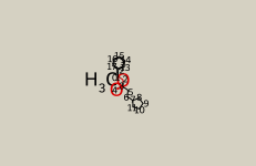 CC(OC(=O)CCC1CCCC1)c1ccccc1